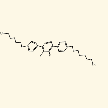 CCCCCCCCc1ccc(-c2ccc(-c3ccc(CCCCCCC)cc3)c(F)c2F)cc1